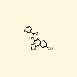 O=C(NC1=Nc2ccc(O)cc2C2=NCCN12)c1cccnc1